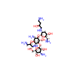 NCCC(O)CN[C@@H]1C[C@H](O)[C@@H](CN)O[C@@H]1OC1[C@@H](N)C[C@@H](NCC(O)CN)[C@H](O[C@H]2O[C@H](CO)[C@@H](O)[C@H](N)[C@H]2O)[C@H]1O